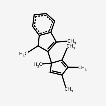 CC1=[C]C(C)(C2=C(C)c3ccccc3C2C)C(C)=C1C